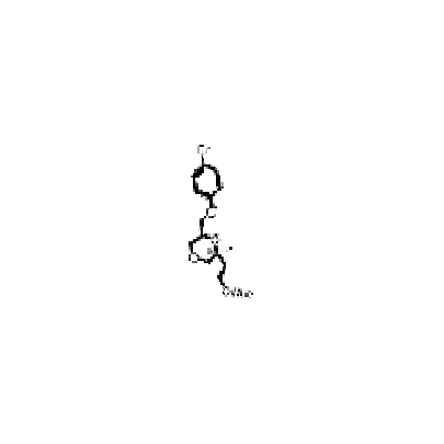 COCC[C@@]1(C)COCC(COc2ccc(Br)cc2)O1